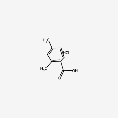 Cc1ccc(C(=O)O)c(C)c1.Cl